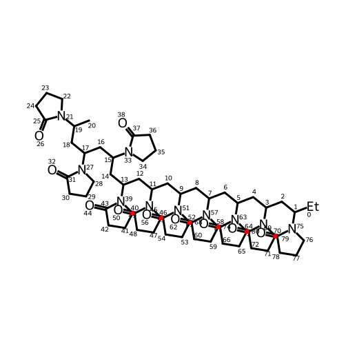 CCC(CC(CC(CC(CC(CC(CC(CC(CC(CC(C)N1CCCC1=O)N1CCCC1=O)N1CCCC1=O)N1CCCC1=O)N1CCCC1=O)N1CCCC1=O)N1CCCC1=O)N1CCCC1=O)N1CCCC1=O)N1CCCC1=O